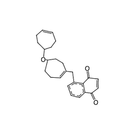 O=C1C=CC(=O)c2c(CC3=CCCC(OC4CCC=CCC4)CC3)cccc21